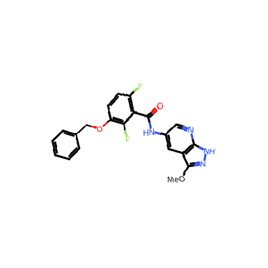 COc1n[nH]c2ncc(NC(=O)c3c(F)ccc(OCc4ccccc4)c3F)cc12